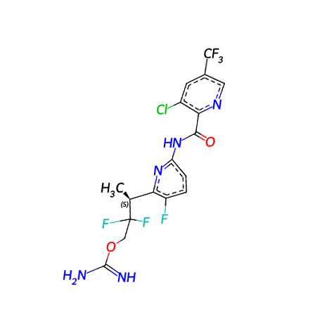 C[C@@H](c1nc(NC(=O)c2ncc(C(F)(F)F)cc2Cl)ccc1F)C(F)(F)COC(=N)N